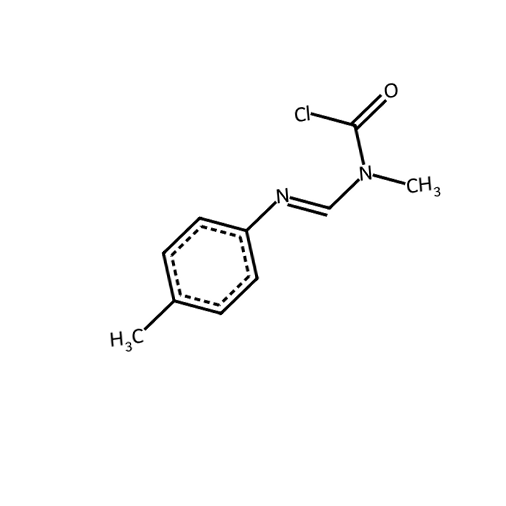 Cc1ccc(N=CN(C)C(=O)Cl)cc1